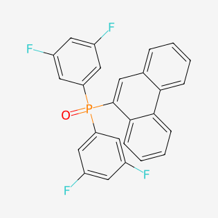 O=P(c1cc(F)cc(F)c1)(c1cc(F)cc(F)c1)c1cc2ccccc2c2ccccc12